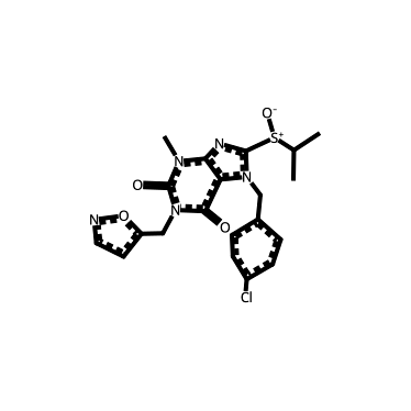 CC(C)[S+]([O-])c1nc2c(c(=O)n(Cc3ccno3)c(=O)n2C)n1Cc1ccc(Cl)cc1